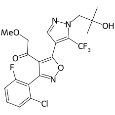 COCC(=O)c1c(-c2c(F)cccc2Cl)noc1-c1cnn(CC(C)(C)O)c1C(F)(F)F